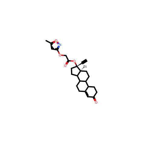 C#C[C@]1(OC(=O)COc2cc(C)on2)CCC2C3CCC4=CC(=O)CCC4C3CC[C@@]21CC